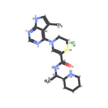 Cc1c[nH]c2ncnc(N3C=C(C(=O)NC(C)[C@@H]4CCCCN4)SCC3)c12.Cl